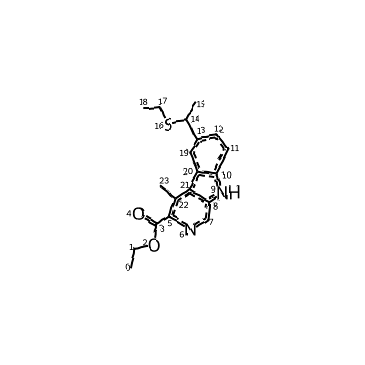 CCOC(=O)c1ncc2[nH]c3ccc(C(C)SCC)cc3c2c1C